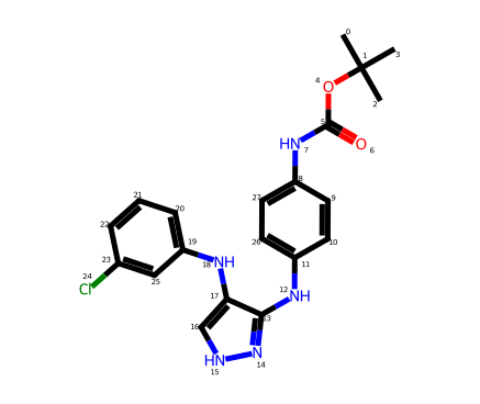 CC(C)(C)OC(=O)Nc1ccc(Nc2n[nH]cc2Nc2cccc(Cl)c2)cc1